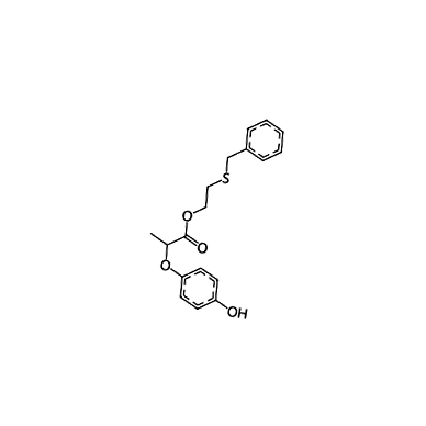 CC(Oc1ccc(O)cc1)C(=O)OCCSCc1ccccc1